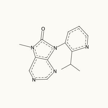 CC(C)c1ncccc1-n1c(=O)n(C)c2cncnc21